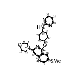 CSc1cnc2cc(N3CCOCC3)nc(OC3CCC(Nc4ncccn4)CC3)c2c1